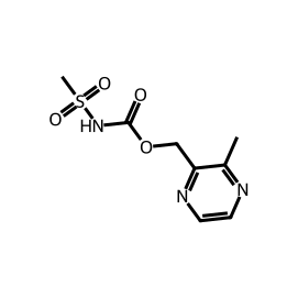 Cc1nccnc1COC(=O)NS(C)(=O)=O